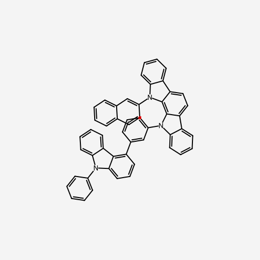 c1ccc(-n2c3ccccc3c3c(-c4cccc(-n5c6ccccc6c6ccc7c8ccccc8n(-c8ccc9ccccc9c8)c7c65)c4)cccc32)cc1